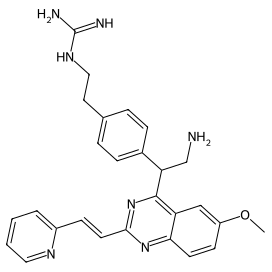 COc1ccc2nc(C=Cc3ccccn3)nc(C(CN)c3ccc(CCNC(=N)N)cc3)c2c1